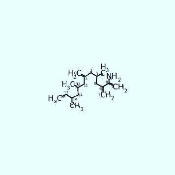 C=C(CC(C)CC(=C)C(=C)N)CC(C)CC(C)CC